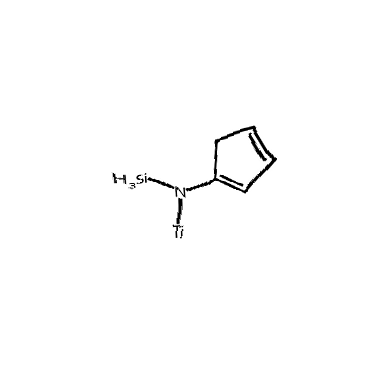 [SiH3][N]([Ti])C1=CC=CC1